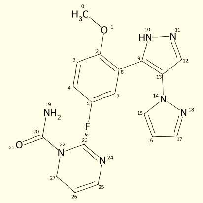 COc1ccc(F)cc1-c1[nH]ncc1-n1cccn1.NC(=O)N1C=NC=CC1